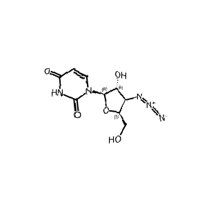 [N-]=[N+]=NC1[C@@H](O)[C@H](n2ccc(=O)[nH]c2=O)O[C@@H]1CO